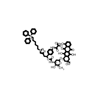 COc1cccc2c1C(=O)c1c(O)c3c(c(O)c1C2=O)C[C@@](O)(I)C[C@@H]3OC1C[C@H](NC(=O)OC(Cc2cn(CCCCCC[PH](c3ccccc3)(c3ccccc3)c3ccccc3)nn2)c2ccc(NC(=O)C(Cl)Cl)cc2)[C@H](O)[C@H](C)O1